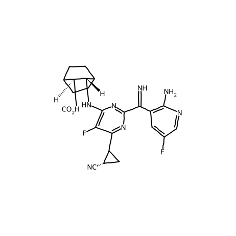 N#C[C@H]1CC1c1nc(C(=N)c2cc(F)cnc2N)nc(N[C@H]2C3CCC(CC3)[C@@H]2C(=O)O)c1F